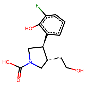 O=C(O)N1C[C@@H](CCO)[C@H](c2cccc(F)c2O)C1